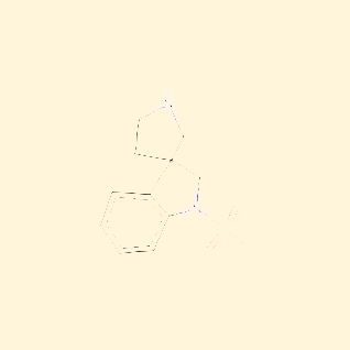 CS(=O)(=O)N1CC2(CCNC2)c2ccccc21